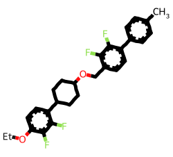 CCOc1ccc(C2CCC(OCc3ccc(-c4ccc(C)cc4)c(F)c3F)CC2)c(F)c1F